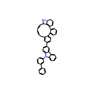 NC1/C=C\C=C/Cc2cc(-c3ccc4c(c3)c3ccccc3n4-c3cccc(-c4ccccc4)c3)ccc2-c2ccccc2C2=C1CCC=C2